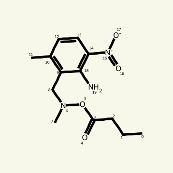 CCCC(=O)ON(C)Cc1c(C)ccc([N+](=O)[O-])c1N